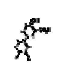 O=C(O)c1cc(-c2ccc(F)c(F)c2)ccc1O